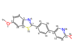 COc1ccc2nc(-c3ccc(-c4ccc(OC)nc4)cc3)sc2c1